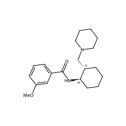 COc1cccc(C(=O)N[C@@H]2CCCC[C@H]2CN2CCCCC2)c1